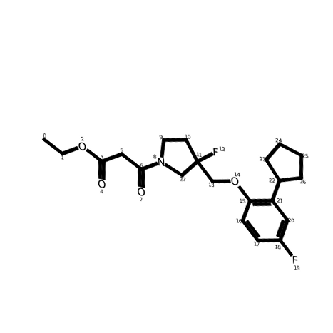 CCOC(=O)CC(=O)N1CCC(F)(COc2ccc(F)cc2C2CCCC2)C1